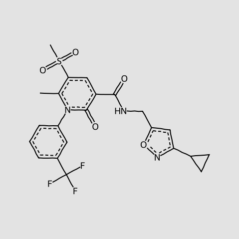 Cc1c(S(C)(=O)=O)cc(C(=O)NCc2cc(C3CC3)no2)c(=O)n1-c1cccc(C(F)(F)F)c1